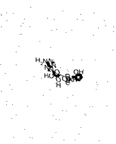 Nc1ncnc2c1ncn2[C@@H]1O[C@H](COS(=O)(=O)NCc2ccccc2O)C(O)C1O